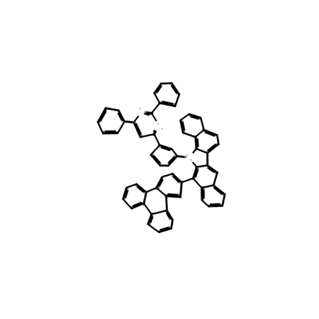 c1ccc(-c2cc(-c3cccc(-n4c5c(-c6ccc7c8ccccc8c8ccccc8c7c6)c6ccccc6cc5c5ccc6ccccc6c54)c3)nc(-c3ccccc3)n2)cc1